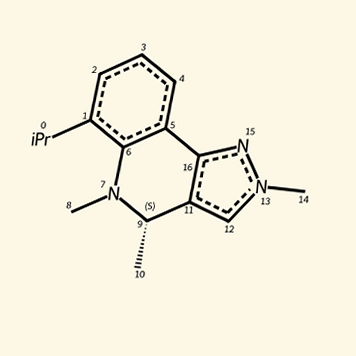 CC(C)c1cccc2c1N(C)[C@@H](C)c1cn(C)nc1-2